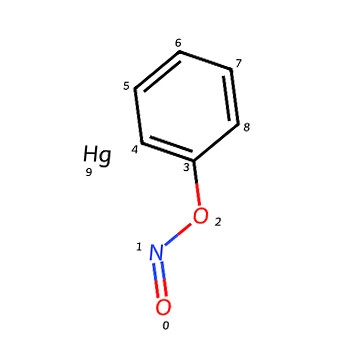 O=NOc1ccccc1.[Hg]